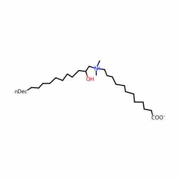 CCCCCCCCCCCCCCCCCCCC(O)C[N+](C)(C)CCCCCCCCCCCC(=O)[O-]